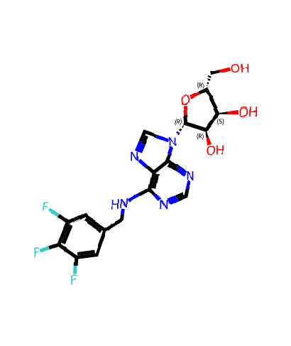 OC[C@H]1O[C@@H](n2cnc3c(NCc4cc(F)c(F)c(F)c4)ncnc32)[C@H](O)[C@@H]1O